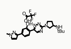 Cn1ccc(-c2ccc(-c3cnc(N4CCC(NC(C)(C)C)C4)nn3)c(O)c2)n1.O=C(O)C(F)(F)F